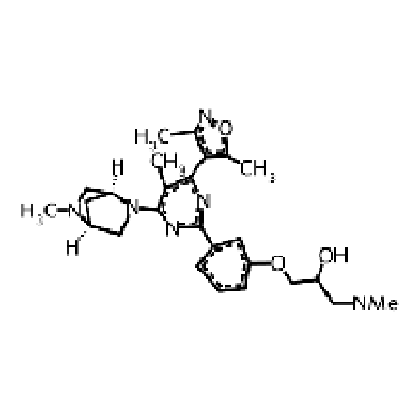 CNCC(O)COc1cccc(-c2nc(-c3c(C)noc3C)c(C)c(N3C[C@@H]4C[C@H]3CN4C)n2)c1